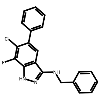 Fc1c(Cl)c(-c2ccccc2)cc2c(NCc3ccccc3)n[nH]c12